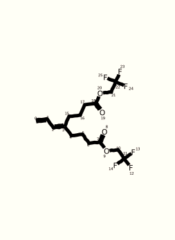 C=CC=C(CCCC(=O)OCC(F)(F)F)CCCC(=O)OCC(F)(F)F